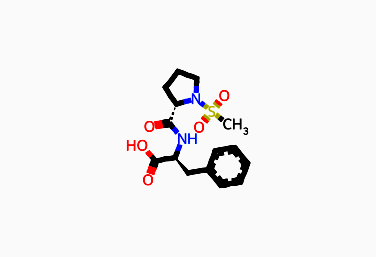 CS(=O)(=O)N1CCC[C@H]1C(=O)N[C@@H](Cc1ccccc1)C(=O)O